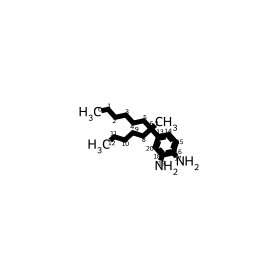 CCCCCCC(C)(CCCCC)c1ccc(N)c(N)c1